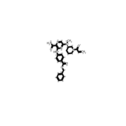 C=CC(=O)N1CCC[C@@H](N(C)c2cnc(C(N)=O)c(Nc3ccc(C(=O)OCc4ccccc4)cc3)n2)C1